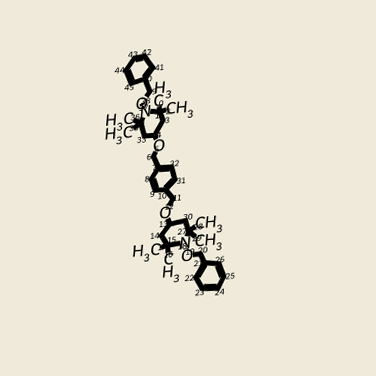 CC1(C)CC(OCc2ccc(COC3CC(C)(C)N(OCc4ccccc4)C(C)(C)C3)cc2)CC(C)(C)N1OCc1ccccc1